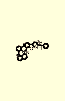 [2H]C([2H])(c1ccccc1)c1ccc2c(n1)oc1c(-c3nc4ccc5ccccc5c4n3-c3c(C(C)C)cccc3C(C)C)cccc12